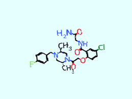 C[C@@H]1CN(Cc2ccc(F)cc2)[C@@H](C)CN1C(=O)COc1ccc(Cl)cc1C(=O)NCC(N)=O